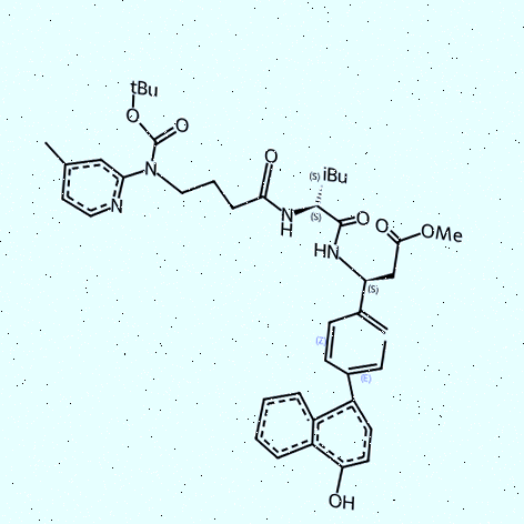 C=C(/C=C\C(=C/C)c1ccc(O)c2ccccc12)[C@H](CC(=O)OC)NC(=O)[C@@H](NC(=O)CCCN(C(=O)OC(C)(C)C)c1cc(C)ccn1)[C@@H](C)CC